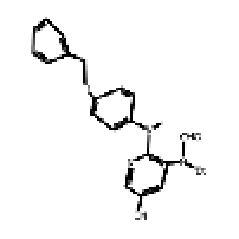 CCN(C=O)c1cc(C#N)cnc1N(C)c1ccc(OCc2ccccc2)cc1